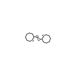 C1CCCC(OOC2CCCCCCS2)SCC1